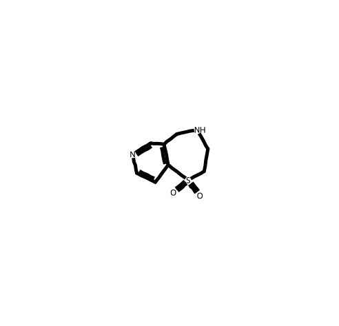 O=S1(=O)CCNCc2cnccc21